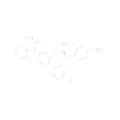 COc1ccc(CNS(=O)(=O)c2cc(C(C(N)=O)c3ccccc3Cl)ccc2-c2ccc(Cl)cc2)c(OC)c1